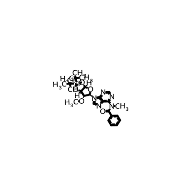 CO[C@@H]1[C@@H]2O[Si](C(C)(C)C)(C(C)(C)C)O[C@H]2O[C@H]1n1cnc2c(N(C)C(=O)c3ccccc3)ncnc21